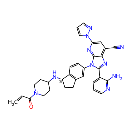 C=CC(=O)N1CCC(N[C@H]2CCc3cc(-n4c(-c5cccnc5N)nc5c(C#N)cc(-n6cccn6)nc54)ccc32)CC1